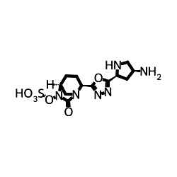 N[C@@H]1CN[C@H](c2nnc([C@@H]3CC[C@H]4CN3C(=O)N4OS(=O)(=O)O)o2)C1